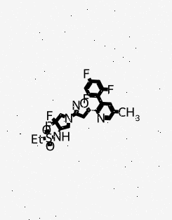 CCS(=O)(=O)N[C@@H]1CN(C2=NO[C@H](c3ncc(C)cc3-c3c(F)cc(F)cc3F)C2)CC1(F)F